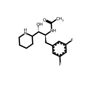 CC(=O)N[C@@H](Cc1cc(F)cc(F)c1)[C@@H](O)C1CCCCN1